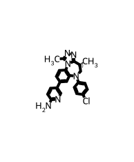 Cc1nnc2n1-c1ccc(-c3ccc(N)nc3)cc1N(c1ccc(Cl)cc1)C[C@H]2C